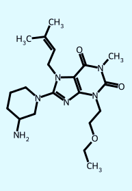 CCOCCn1c(=O)n(C)c(=O)c2c1nc(N1CCCC(N)C1)n2CC=C(C)C